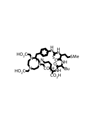 CCC(C)C(NC(=O)C(CCSC)NC(=S)Nc1ccc(CC2CN(CC(=O)O)CCN(CC(=O)O)CCN2CC(=O)O)cc1)C(=O)NC(CCCCN)C(=O)O